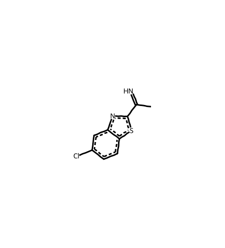 CC(=N)c1nc2cc(Cl)ccc2s1